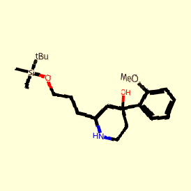 COc1ccccc1C1(O)CCNC(CCCO[Si](C)(C)C(C)(C)C)C1